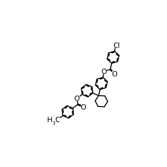 Cc1ccc(C(=O)Oc2cccc(C3(c4ccc(OC(=O)c5ccc(Cl)cc5)cc4)CCCCC3)c2)cc1